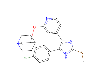 CSc1nc(-c2ccnc(OC3CN4CCC3CC4)c2)c(-c2ccc(F)cc2)[nH]1